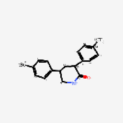 CC(C)(C)c1ccc(C2CNC(=O)C(c3ccc(C(F)(F)F)cc3)C2)cc1